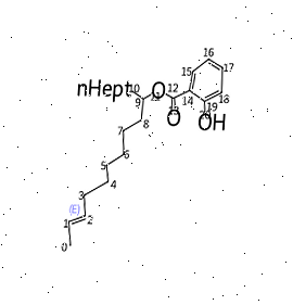 C/C=C/CCCCCCC(CCCCCCC)OC(=O)c1ccccc1O